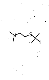 CN(C)CCSC(C)(C)I